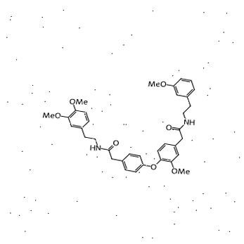 COc1cccc(CCNC(=O)Cc2ccc(Oc3ccc(CC(=O)NCCc4ccc(OC)c(OC)c4)cc3)c(OC)c2)c1